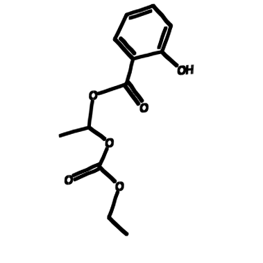 CCOC(=O)OC(C)OC(=O)c1ccccc1O